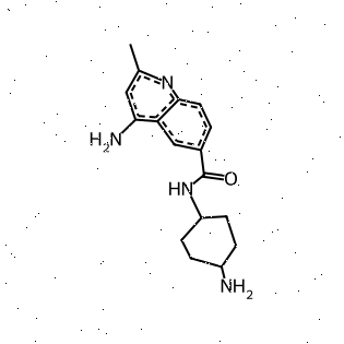 Cc1cc(N)c2cc(C(=O)NC3CCC(N)CC3)ccc2n1